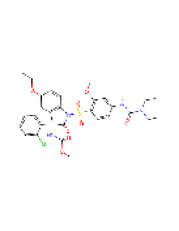 CCOc1ccc2c(c1)C(NC(=O)OC)(c1ccccc1Cl)C(=O)N2S(=O)(=O)c1ccc(NC(=O)N(CC)CC)cc1OC